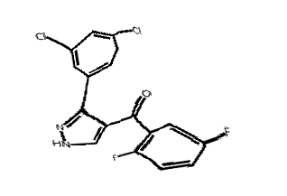 O=C(c1cc(F)ccc1F)c1c[nH]nc1-c1cc(Cl)cc(Cl)c1